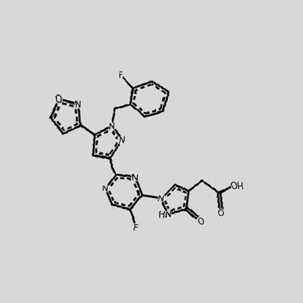 O=C(O)Cc1cn(-c2nc(-c3cc(-c4ccon4)n(Cc4ccccc4F)n3)ncc2F)[nH]c1=O